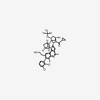 [2H]C([2H])([2H])O[C@H]1C[C@H]2C[C@@H]1[C@H](c1cc3c(C)nc4c(F)c(-c5cccc(Cl)c5Cl)c(CCC#N)cc4c3n1C1[C@H]3CN[C@@H]1C3)N2C(=O)C1CC1